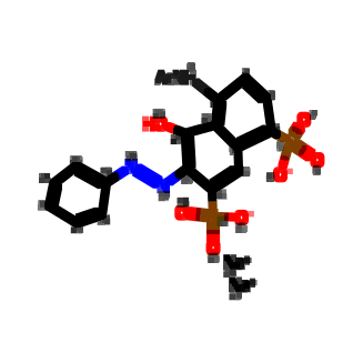 CC(=O)Nc1ccc(S(=O)(=O)[O-])c2cc(S(=O)(=O)[O-])c(N=Nc3ccccc3)c(O)c12.[Na+].[Na+]